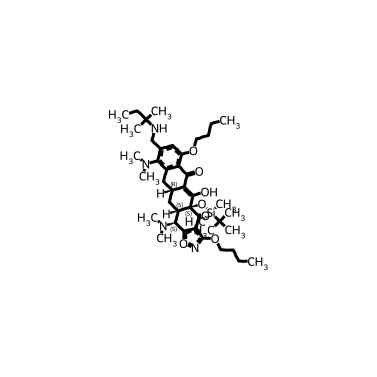 CCCCOc1cc(CNC(C)(C)CC)c(N(C)C)c2c1C(=O)C1=C(O)[C@]3(O[Si](C)(C)C(C)(C)C)C(=O)c4c(OCCCC)noc4[C@@H](N(C)C)[C@@H]3C[C@@H]1C2